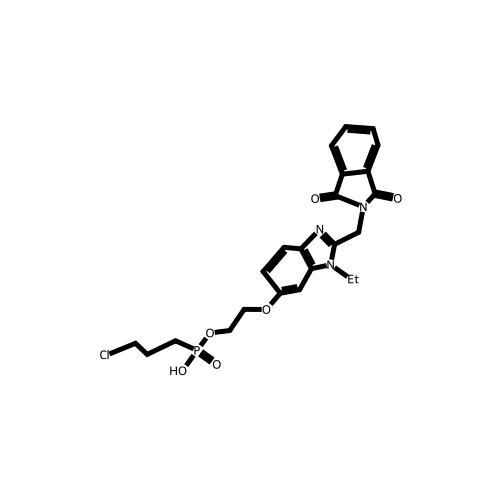 CCn1c(CN2C(=O)c3ccccc3C2=O)nc2ccc(OCCOP(=O)(O)CCCCl)cc21